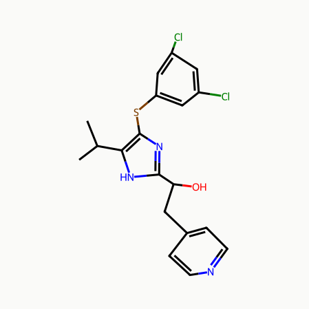 CC(C)c1[nH]c(C(O)Cc2ccncc2)nc1Sc1cc(Cl)cc(Cl)c1